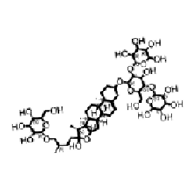 C[C@H](CCC1(O)OC2C[C@H]3[C@@H]4CC=C5CC(O[C@@H]6OC(CO)[C@@H](O[C@@H]7OC(O)[C@H](O)C(O)[C@@H]7O)C(O)[C@@H]6O[C@@H]6OC(O)[C@H](O)C(O)[C@@H]6O)CC[C@]5(C)[C@H]4CC[C@]3(C)[C@H]2[C@@H]1C)CO[C@@H]1OC(CO)[C@@H](O)C(O)[C@@H]1O